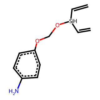 C=C[SiH](C=C)OCOc1ccc(N)cc1